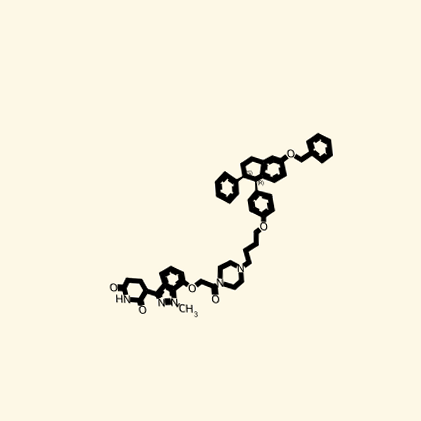 Cn1nc(C2CCC(=O)NC2=O)c2cccc(OCC(=O)N3CCN(CCCCOc4ccc([C@@H]5c6ccc(OCc7ccccc7)cc6CC[C@@H]5c5ccccc5)cc4)CC3)c21